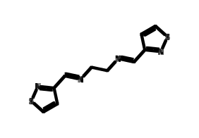 C(=NCCN=Cc1ccsn1)c1ccsn1